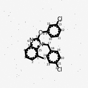 Cc1cccc2nc(Oc3cccc(Cl)c3)n(Cc3ccc(Cl)cc3)c12